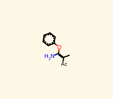 CC(=O)C(C)=C(N)Oc1ccccc1